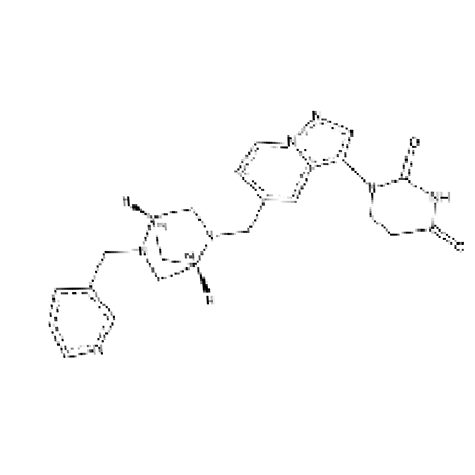 O=C1CCN(c2cnn3ccc(CN4C[C@@H]5C[C@H]4CN5Cc4cccnc4)cc23)C(=O)N1